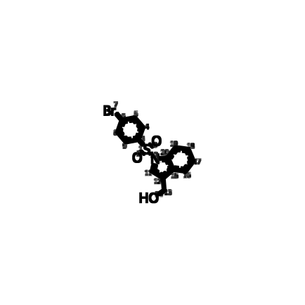 O=S(=O)(c1ccc(Br)cc1)n1cc(CO)c2ccccc21